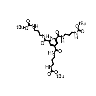 CC(C)(C)OC(=O)NCCCNC(=O)c1cc(C(=O)NCCCNC(=O)OC(C)(C)C)nc(C(=O)NCCCNC(=O)OC(C)(C)C)c1